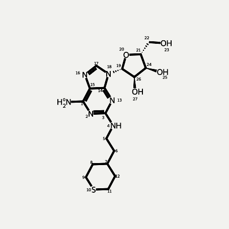 Nc1nc(NCCC2CCSCC2)nc2c1ncn2[C@@H]1O[C@H](CO)[C@@H](O)[C@H]1O